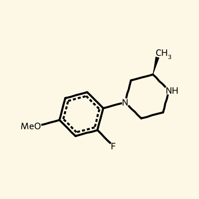 COc1ccc(N2CCN[C@H](C)C2)c(F)c1